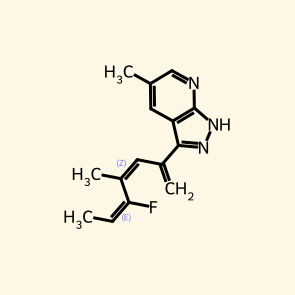 C=C(/C=C(C)\C(F)=C/C)c1n[nH]c2ncc(C)cc12